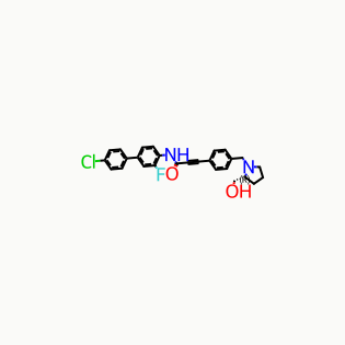 O=C(C#Cc1ccc(CN2CCC[C@@H]2CO)cc1)Nc1ccc(-c2ccc(Cl)cc2)cc1F